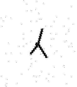 CCCCCCCCCCCCCc1n(CCCCCCCCCCCCC)cc[n+]1CCCCCCCCC